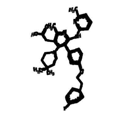 Cc1cccc(Nc2nc(C)c(CC(=O)O)c(N3CCC(C)(C)CC3)c2-c2ccc(OCCc3ccc(F)cc3)cc2)n1